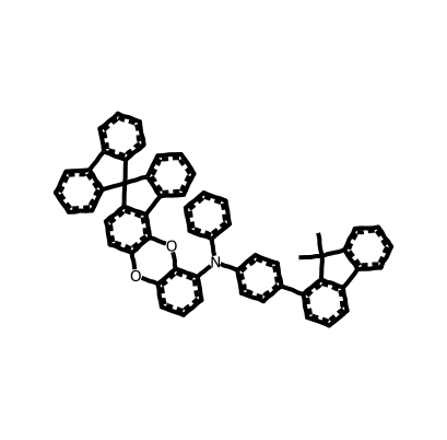 CC1(C)c2ccccc2-c2cccc(-c3ccc(N(c4ccccc4)c4cccc5c4Oc4c(ccc6c4-c4ccccc4C64c6ccccc6-c6ccccc64)O5)cc3)c21